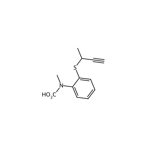 C#CC(C)Sc1ccccc1N(C)C(=O)O